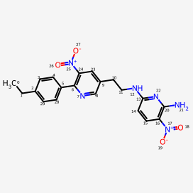 CCc1ccc(-c2n[c]c(CCNc3ccc([N+](=O)[O-])c(N)n3)cc2[N+](=O)[O-])cc1